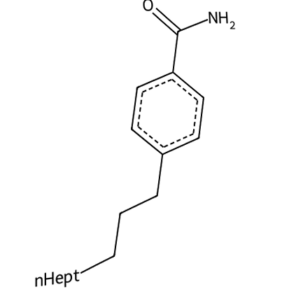 CCCCCCCCCCc1ccc(C(N)=O)cc1